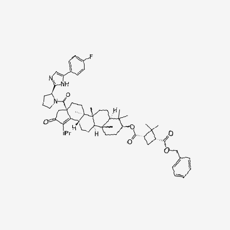 CC(C)C1=C2[C@H]3CC[C@@H]4[C@@]5(C)CC[C@H](OC(=O)[C@H]6C[C@@H](C(=O)OCc7ccccc7)C6(C)C)C(C)(C)[C@@H]5CC[C@@]4(C)[C@]3(C)CC[C@@]2(C(=O)N2CCC[C@H]2c2ncc(-c3ccc(F)cc3)[nH]2)CC1=O